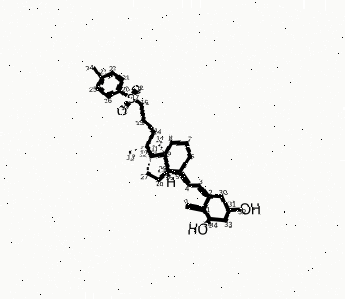 C=C1/C(=C\C=C2/CCC[C@]3(C)[C@@H]([C@H](C)CCCS(=O)(=O)c4ccc(C)cc4)CC[C@@H]23)CC(O)CC1O